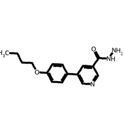 CCCCOc1ccc(-c2cncc(C(=O)NN)c2)cc1